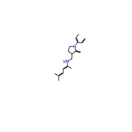 C=C/C(=C\C)N1CCC(CN/C(C)=C/C=C(C)C)C1=C